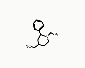 C[C](C)CN1CCC(CC#N)CC1c1ccccc1